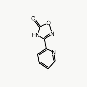 O=c1[nH]c(-c2cc[c]cn2)no1